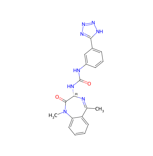 CC1=N[C@@H](NC(=O)Nc2cccc(-c3nnn[nH]3)c2)C(=O)N(C)c2ccccc21